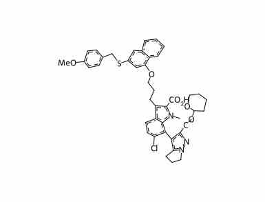 COc1ccc(CSc2cc(OCCCc3c(C(=O)O)n(C)c4c(-c5c(COC6CCCCO6)nn6c5CCC6)c(Cl)ccc34)c3ccccc3c2)cc1